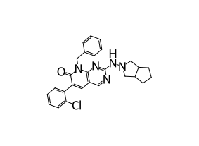 O=c1c(-c2ccccc2Cl)cc2cnc(NN3CC4CCCC4C3)nc2n1Cc1ccccc1